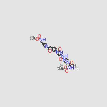 CC(C)(C)OC(=O)NCC1C2CN(C3COc4cc(-n5ccc(NC(=O)N6CCN(C(=O)C(C)(C)NC(=O)OC(C)(C)C)CC6)nc5=O)ccc4C3)CC12